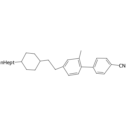 CCCCCCCC1CCC(CCc2ccc(-c3ccc(C#N)cc3)c(C)c2)CC1